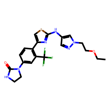 CCOCCn1cc(Nc2nc(-c3ccc(N4CCNC4=O)cc3C(F)(F)F)cs2)cn1